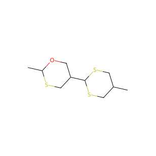 CC1CSC(C2COC(C)SC2)SC1